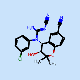 CC1(C)Oc2ccc(C#N)cc2[C@@H](N(C(N)=NC#N)c2cccc(Cl)c2)[C@@H]1O